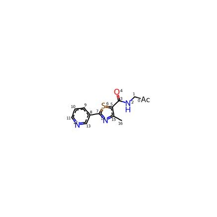 CC(=O)CNC(=O)c1sc(-c2cccnc2)nc1C